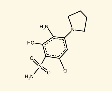 Nc1c(N2CCCC2)cc(Cl)c(S(N)(=O)=O)c1O